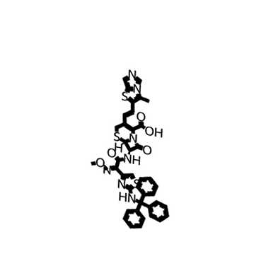 CO/N=C(\C(=O)N[C@@H]1C(=O)N2C(C(=O)O)=C(C=Cc3sc4cncn4c3C)CS[C@H]12)c1csc(NC(c2ccccc2)(c2ccccc2)c2ccccc2)n1